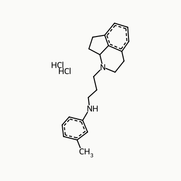 Cc1cccc(NCCCN2CCc3cccc4c3C2CC4)c1.Cl.Cl